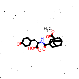 COC(=O)C12CC3CC(CC(C(=O)N[C@@H](CC4CCC(=O)CC4)C(=O)O)(C3)C1)C2